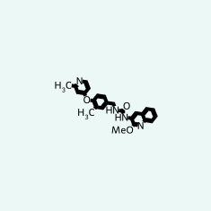 COc1nc2ccccc2cc1NC(=O)NCc1ccc(Oc2ccnc(C)c2)c(C)c1